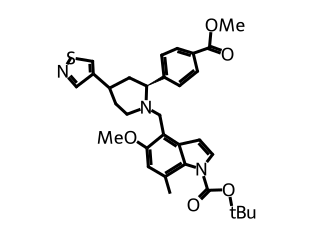 COC(=O)c1ccc([C@@H]2CC(c3cnsc3)CCN2Cc2c(OC)cc(C)c3c2ccn3C(=O)OC(C)(C)C)cc1